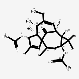 CCCC(=O)O[C@H]1C(C)=CC23C(=O)[C@@H](C=C(CO)[C@@H](O)[C@]12O)[C@@H]1C(C)(C)[C@]1(OC(=O)CCC)CC3C